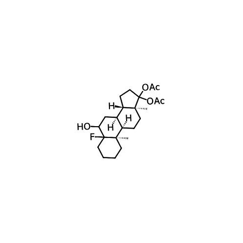 CC(=O)OC1(OC(C)=O)CC[C@H]2[C@@H]3CC(O)C4(F)CCCC[C@]4(C)[C@@H]3CC[C@@]21C